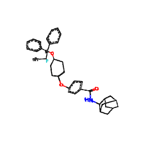 CCCC(F)[Si](OC1CCC(Oc2ccc(C(=O)NC3C4CC5CC(C4)CC3C5)cc2)CC1)(c1ccccc1)c1ccccc1